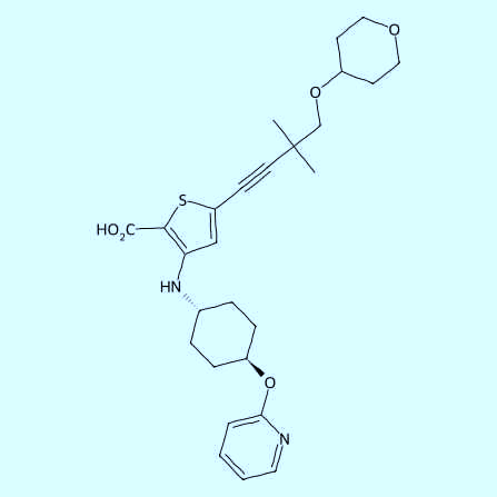 CC(C)(C#Cc1cc(N[C@H]2CC[C@H](Oc3ccccn3)CC2)c(C(=O)O)s1)COC1CCOCC1